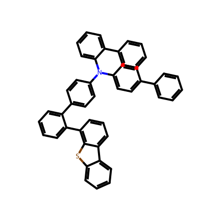 c1ccc(-c2ccc(N(c3ccc(-c4ccccc4-c4cccc5c4sc4ccccc45)cc3)c3ccccc3-c3ccccc3)cc2)cc1